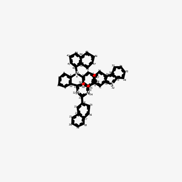 c1ccc(N(c2ccccc2-c2nc(-c3ccc4ccccc4c3)nc(-c3ccc4c(c3)sc3ccccc34)n2)c2cccc3ccccc23)cc1